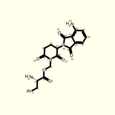 CC(C)C[C@H](N)C(=O)OCN1C(=O)CCC(N2C(=O)c3cccc(N)c3C2=O)C1=O